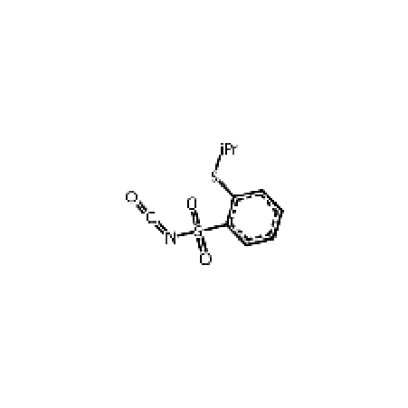 CC(C)Sc1ccccc1S(=O)(=O)N=C=O